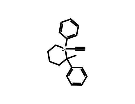 C#C[Si]1(c2ccccc2)CCCCC1(C)c1ccccc1